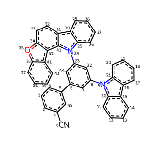 N#Cc1cccc(-c2cc(-n3c4ccccc4c4ccccc43)cc(-n3c4ccccc4c4ccc5oc6ccccc6c5c43)c2)c1